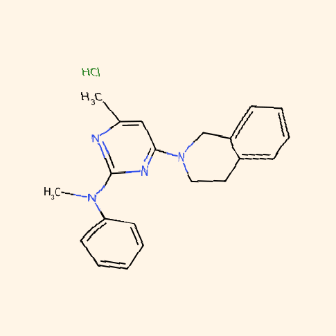 Cc1cc(N2CCc3ccccc3C2)nc(N(C)c2ccccc2)n1.Cl